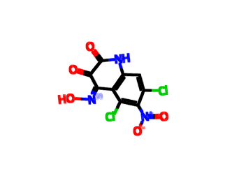 O=C1Nc2cc(Cl)c([N+](=O)[O-])c(Cl)c2/C(=N/O)C1=O